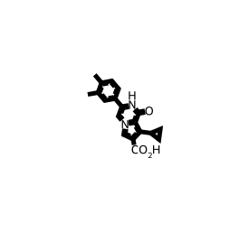 Cc1ccc(-c2cn3cc(C(=O)O)c(C4CC4)c3c(=O)[nH]2)cc1C